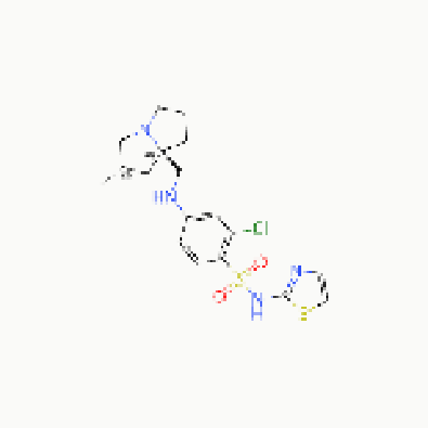 C[C@@H]1CN2CCC[C@]2(CNc2ccc(S(=O)(=O)Nc3nccs3)c(Cl)c2)C1